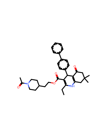 CCC1=C(C(=O)OCCC2CCN(C(C)=O)CC2)C(c2ccc(-c3ccccc3)cc2)C2=C(CC(C)(C)CC2=O)N1